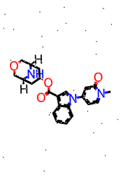 Cn1ccc(-n2cc(C(=O)O[C@H]3C[C@H]4COC[C@@H](C3)N4)c3ccccc32)cc1=O